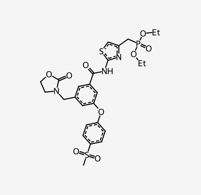 CCOP(=O)(Cc1csc(NC(=O)c2cc(CN3CCOC3=O)cc(Oc3ccc(S(C)(=O)=O)cc3)c2)n1)OCC